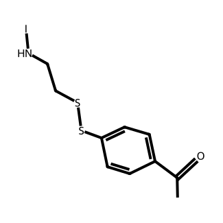 CC(=O)c1ccc(SSCCNI)cc1